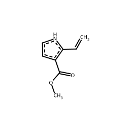 C=Cc1[nH]ccc1C(=O)OC